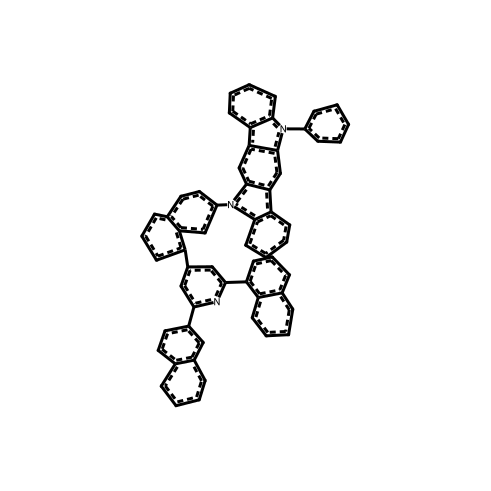 c1ccc(-n2c3ccccc3c3cc4c(cc32)c2ccccc2n4-c2ccc3cccc(-c4cc(-c5ccc6ccccc6c5)nc(-c5cccc6ccccc56)c4)c3c2)cc1